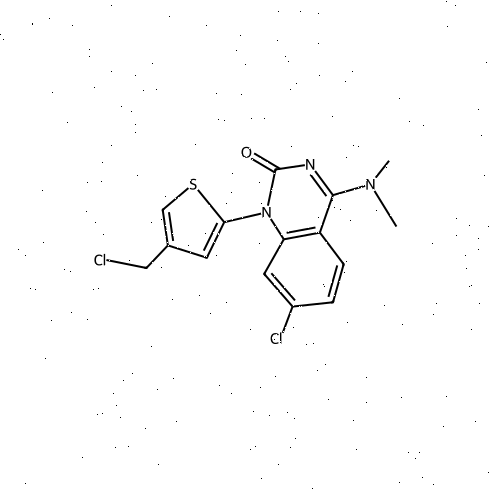 CN(C)c1nc(=O)n(-c2cc(CCl)cs2)c2cc(Cl)ccc12